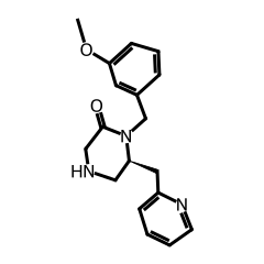 COc1cccc(CN2C(=O)CNC[C@@H]2Cc2ccccn2)c1